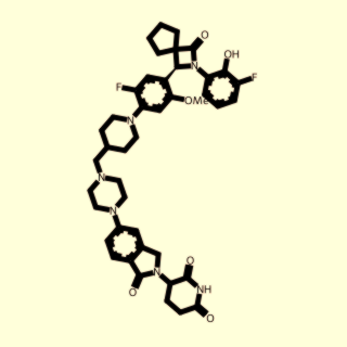 COc1cc(N2CCC(CN3CCN(c4ccc5c(c4)CN(C4CCC(=O)NC4=O)C5=O)CC3)CC2)c(F)cc1[C@@H]1N(c2cccc(F)c2O)C(=O)C12CCCC2